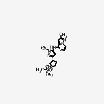 Cc1cc2c(Nc3cc([C@H]4CC[C@@H](O[Si](C)(C)C(C)(C)C)C4)nn3C(C)(C)C)nccn2n1